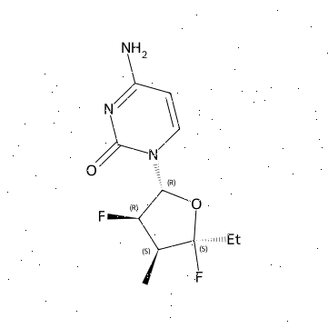 CC[C@@]1(F)O[C@@H](n2ccc(N)nc2=O)[C@H](F)[C@@H]1C